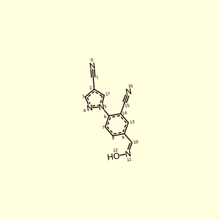 N#Cc1cnn(-c2ccc(/C=N\O)cc2C#N)c1